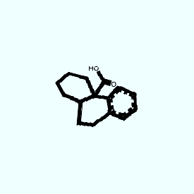 O=C(O)C12CCCCC1CCc1ccccc12